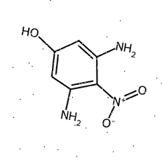 Nc1cc(O)cc(N)c1[N+](=O)[O-]